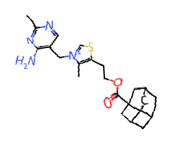 Cc1ncc(C[n+]2csc(CCOC(=O)C34CC5CC6CC(C3)C64C5)c2C)c(N)n1